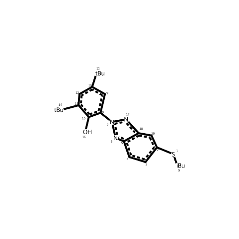 CCC(C)Sc1ccc2nn(-c3cc(C(C)(C)C)cc(C(C)(C)C)c3O)nc2c1